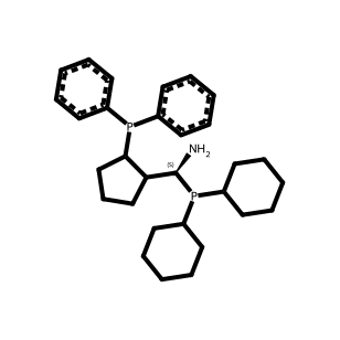 N[C@H](C1CCCC1P(c1ccccc1)c1ccccc1)P(C1CCCCC1)C1CCCCC1